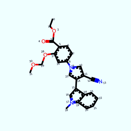 CCOC(=O)c1ccc(-n2cc(C#N)c(-c3cn(C)c4ccccc34)c2)cc1OCOC